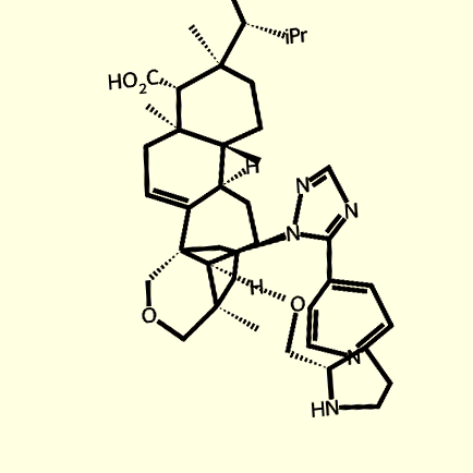 CC(C)[C@@H](C)[C@@]1(C)CC[C@]2(C)[C@H]3CC[C@@H]4[C@@]5(COC[C@]4(C)[C@@H](OC[C@@H]4CCCN4)[C@H](n4ncnc4-c4ccncc4)C5)C3=CC[C@@]2(C)[C@@H]1C(=O)O